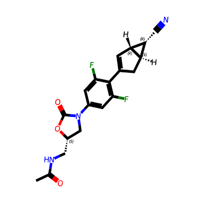 CC(=O)NC[C@H]1CN(c2cc(F)c(C3=C[C@@H]4[C@H](C#N)[C@H]4C3)c(F)c2)C(=O)O1